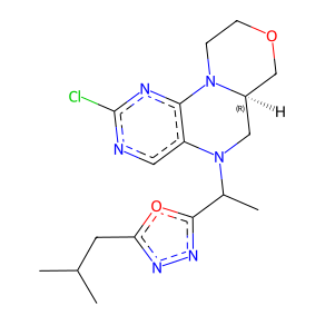 CC(C)Cc1nnc(C(C)N2C[C@@H]3COCCN3c3nc(Cl)ncc32)o1